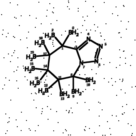 BC1(B)c2nnnn2C(B)(B)C(B)(B)C(B)(B)C1(B)B